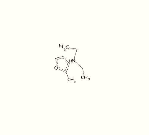 CCNCC.Cc1ccco1